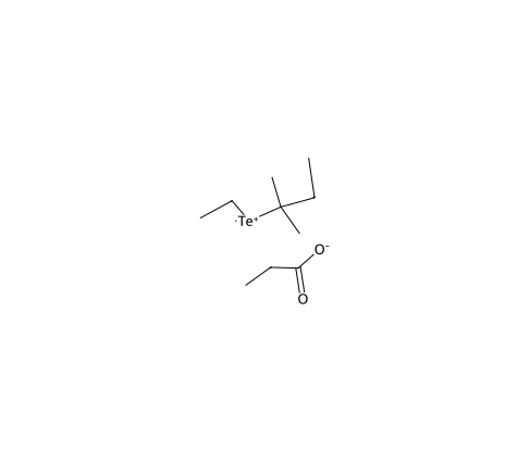 CCC(=O)[O-].CC[Te+]C(C)(C)CC